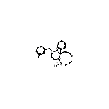 C[C@@H]1OCCOCCC2(c3ccccc3)C(=O)N(Cc3cccc(F)c3)CC[C@@H]12